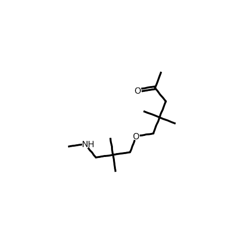 CNCC(C)(C)COCC(C)(C)CC(C)=O